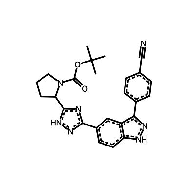 CC(C)(C)OC(=O)N1CCCC1c1nc(-c2ccc3[nH]nc(-c4ccc(C#N)cc4)c3c2)n[nH]1